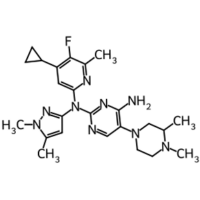 Cc1nc(N(c2cc(C)n(C)n2)c2ncc(N3CCN(C)C(C)C3)c(N)n2)cc(C2CC2)c1F